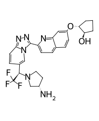 N[C@H]1CCN([C@H](c2ccc3nnc(-c4ccc5ccc(O[C@@H]6CCC[C@H]6O)cc5n4)n3c2)C(F)(F)F)C1